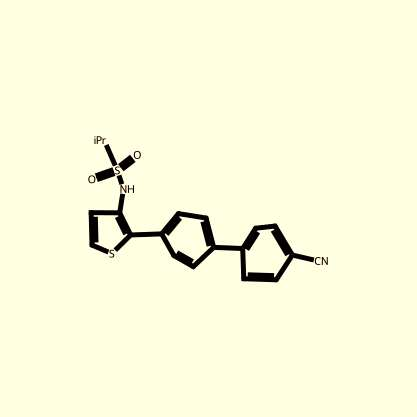 CC(C)S(=O)(=O)Nc1ccsc1-c1ccc(-c2ccc(C#N)cc2)cc1